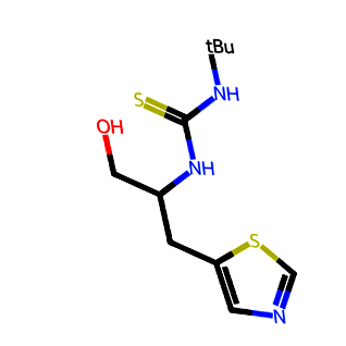 CC(C)(C)NC(=S)NC(CO)Cc1cncs1